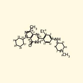 CCc1cc(NC2CCN(C)CC2)ccc1-c1nc2c(C)nn(C3CCCCC3)c2c(=O)[nH]1